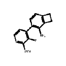 COc1nccc(-c2ccc3c(c2N)CC3)c1F